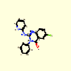 O=c1c2cc(F)ccc2nc(Nc2ccccn2)n1-c1ccccc1